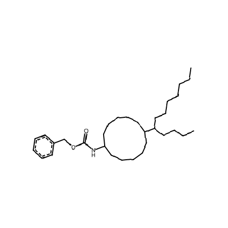 CCCCCCCC(CCCC)C1CCCCCC(NC(=O)OCc2ccccc2)CCCCC1